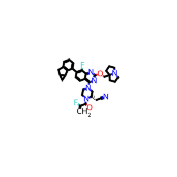 C=C(F)C(=O)N1CCN(c2nc(OCC34CCCN3CCC4)nc3c(F)c(-c4cccc5c4C4CC4C5)ccc23)C[C@@H]1CC#N